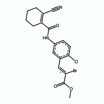 COC(=O)/C(Br)=C/c1cc(NC(=O)C2=C(C#N)CCCC2)ccc1Cl